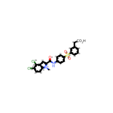 Cn1c(C(=O)Nc2ccc(S(=O)(=O)c3cccc(CC(=O)O)c3)cc2)cc2c(Cl)c(Cl)ccc21